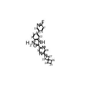 Nc1ccc(-c2ccc(F)nc2)cc1NC(=O)c1cnc(N2CC3(CCC3)C2)cn1